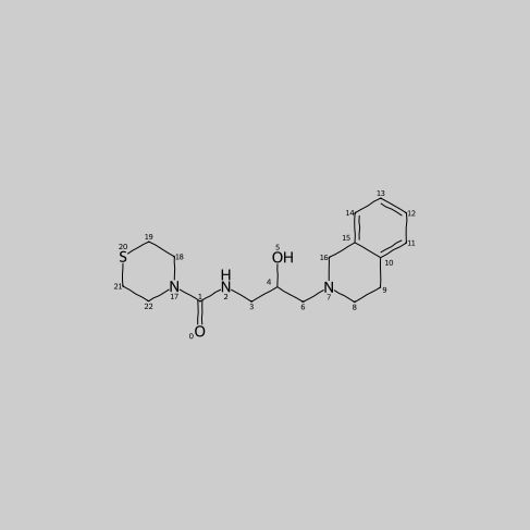 O=C(NCC(O)CN1CCc2ccccc2C1)N1CCSCC1